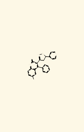 O=c1[nH]c2ccc(Cl)cc2c(-c2ccccc2)c1C1=NNC(c2ccncc2)C1